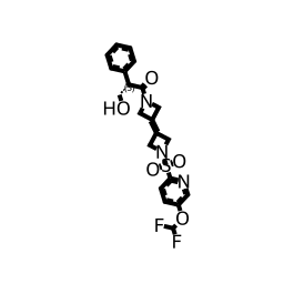 O=C([C@H](CO)c1ccccc1)N1CC(=C2CN(S(=O)(=O)c3ccc(OC(F)F)cn3)C2)C1